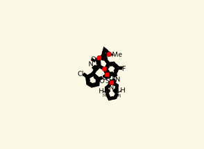 COC(=O)c1cc(F)c2nc(N3[C@@H]4CC[C@H]3C[C@@H](OC(=O)Cc3c(-c5c(Cl)cccc5Cl)noc3C3CC3)C4)sc2c1